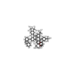 Cc1cc2c(cc1N1c3cc(-c4cccc5sc6ccccc6c45)ccc3B3c4cc5c(cc4N(c4ccc(C(C)(C)C)cc4-c4ccccc4)c4cc(C(C)(C)C)cc1c43)C(C)(C)CCC5(C)C)C(C)(C)CC2(C)C